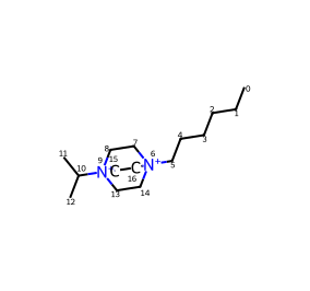 CCCCCC[N+]12CC[N+](C(C)C)(CC1)CC2